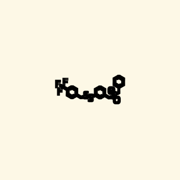 O=S(=O)(Cc1ccccc1)Cc1cccc(SSCc2ccc(C(F)(F)F)cc2)c1